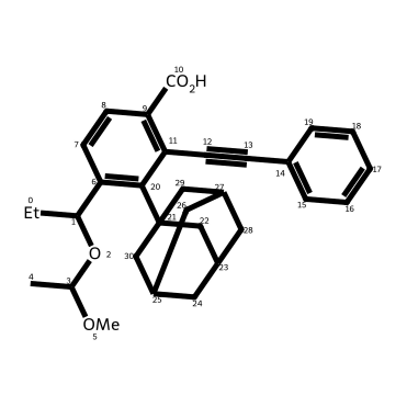 CCC(OC(C)OC)c1ccc(C(=O)O)c(C#Cc2ccccc2)c1C12CC3CC(CC(C3)C1)C2